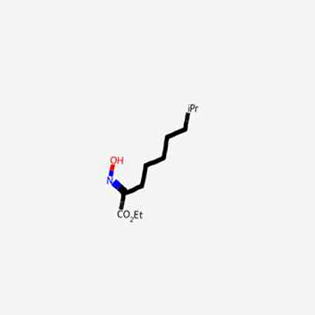 CCOC(=O)C(CCCCCC(C)C)=NO